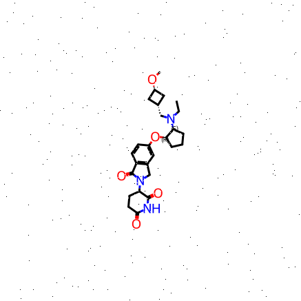 CCN(C[C@H]1C[C@@H](OC)C1)[C@H]1CCC[C@H]1Oc1ccc2c(c1)CN(C1CCC(=O)NC1=O)C2=O